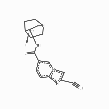 C#Cc1cn2cc(C(=O)N[C@H]3CN4CCC3CC4)ccc2n1